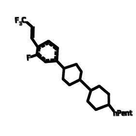 CCCCCC1CCC(C2CCC(c3ccc(/C=C/C(F)(F)F)c(F)c3)CC2)CC1